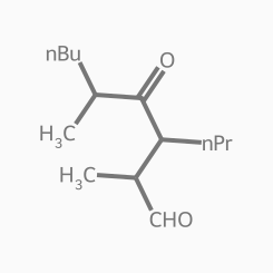 CCCCC(C)C(=O)C(CCC)C(C)C=O